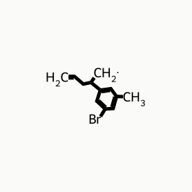 [CH2]C(CC=C)c1cc(C)cc(Br)c1